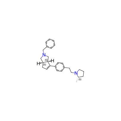 C[C@H]1CCCN1CCc1ccc(C2=CC[C@@H]3CN(Cc4ccccc4)C[C@H]23)cc1